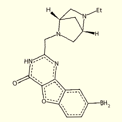 Bc1ccc2oc3c(=O)[nH]c(CN4C[C@@H]5C[C@H]4CN5CC)nc3c2c1